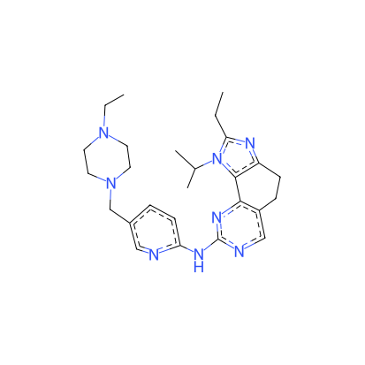 CCc1nc2c(n1C(C)C)-c1nc(Nc3ccc(CN4CCN(CC)CC4)cn3)ncc1CC2